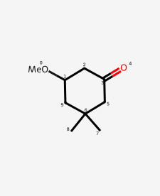 COC1CC(=O)CC(C)(C)C1